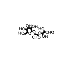 O=CC(COC1OC(CO)C(O)C(O)C1O)OC(O)C(O)C=O